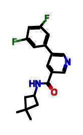 CC1(C)CC(NC(=O)c2cncc(-c3cc(F)cc(F)c3)c2)C1